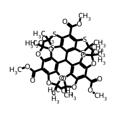 COC(=O)c1c2c(c(C(c3c4c(c(C(=O)OC)c5c3OC(C)(C)O5)OC(C)(C)O4)c3c4c(c(C(=O)OC)c5c3SC(C)(C)S5)SC(C)(C)S4)c3c1OC(C)(C)O3)OC(C)(C)O2